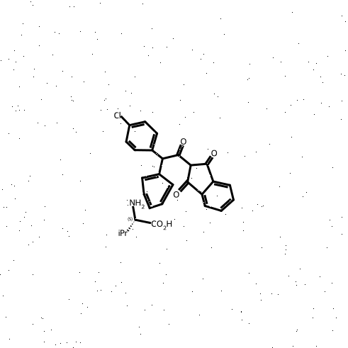 CC(C)[C@H](N)C(=O)O.O=C1c2ccccc2C(=O)C1C(=O)C(c1ccccc1)c1ccc(Cl)cc1